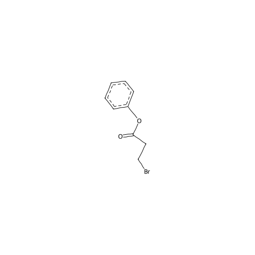 O=C(CCBr)Oc1ccccc1